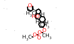 CCOC(=O)OC(C)O[C@H]1CC[C@@]2(C)[C@H](CC[C@@H]3[C@@H]2CC[C@]2(C)[C@@H](C4=COCC=C4)CC[C@]32O)C1